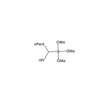 CCCCCC(CCC)[Si](OC)(OC)OC